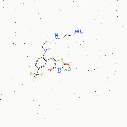 Cl.NCCCN[C@H]1CCN(c2ccc(C(F)(F)F)cc2C=C2SC(=O)NC2=O)C1